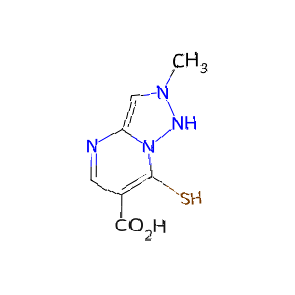 CN1C=C2N=CC(C(=O)O)=C(S)N2N1